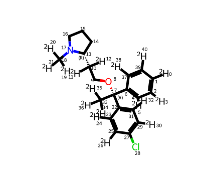 [2H]c1c([2H])c([2H])c([C@@](OCC([2H])([2H])[C@H]2CCCN2C([2H])([2H])[2H])(c2c([2H])c([2H])c(Cl)c([2H])c2[2H])C([2H])([2H])[2H])c([2H])c1[2H]